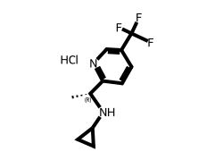 C[C@@H](NC1CC1)c1ccc(C(F)(F)F)cn1.Cl